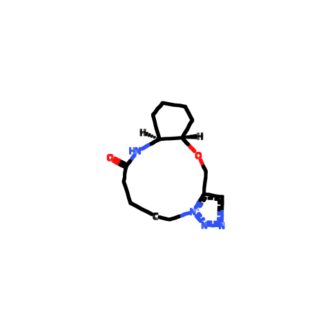 O=C1CCCCn2nncc2CO[C@H]2CCCC[C@@H]2N1